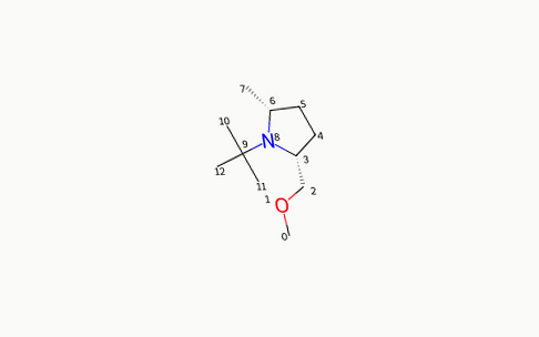 COC[C@H]1CC[C@@H](C)N1C(C)(C)C